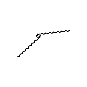 CCCCCCCCCCCCCCCn1cc[n+](CCCCCCCCCCCCCC)c1